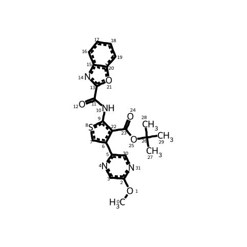 COc1cnc(-c2csc(NC(=O)c3nc4ccccc4o3)c2C(=O)OC(C)(C)C)cn1